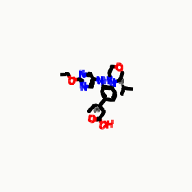 CCOc1ncc(Nc2cc([C@H](CC)CC(=O)O)ccc2N2CCOC[C@@H]2C(C)C)cn1